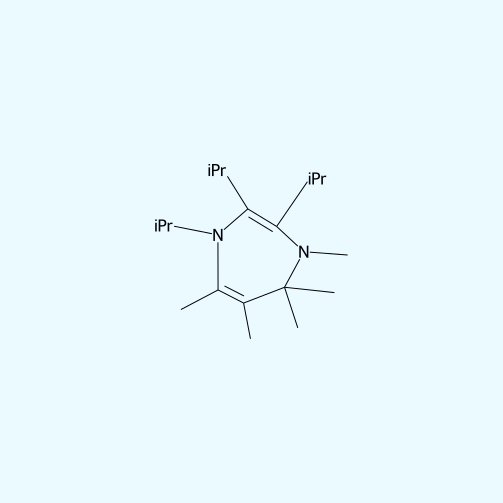 CC1=C(C)C(C)(C)N(C)C(C(C)C)=C(C(C)C)N1C(C)C